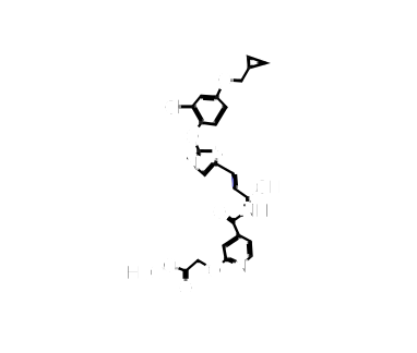 COC(=O)COc1cc(C(=O)N[C@@H](C)/C=C/c2cnc(Oc3ccc(OCC4CC4)cc3Cl)s2)ccn1